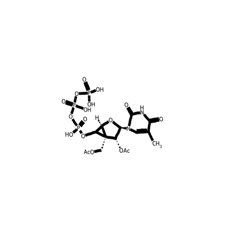 CC(=O)OC[C@]12C(OP(=O)(O)OP(=O)(O)OP(=O)(O)O)[C@H]1O[C@@H](n1cc(C)c(=O)[nH]c1=O)[C@@H]2OC(C)=O